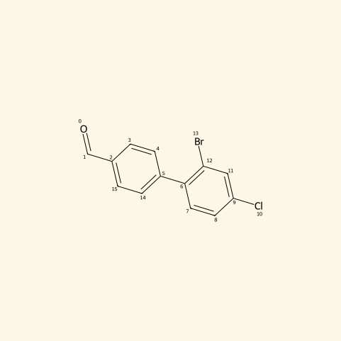 O=Cc1ccc(-c2ccc(Cl)cc2Br)cc1